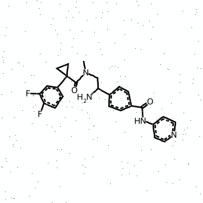 CN(CC(N)c1ccc(C(=O)Nc2ccncc2)cc1)C(=O)C1(c2ccc(F)c(F)c2)CC1